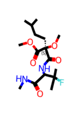 CNC(=O)C(NC(=O)[C@](CCC(C)C)(OC)C(=O)OC)C(C)(C)F